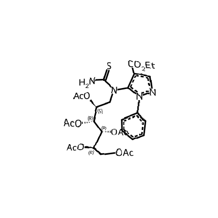 CCOC(=O)c1cnn(-c2ccccc2)c1N(C[C@H](OC(C)=O)[C@@H](OC(C)=O)[C@H](OC(C)=O)[C@@H](COC(C)=O)OC(C)=O)C(N)=S